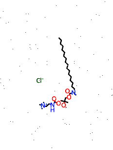 CCCCCCCCCCCCCCCCCCN(C)C(=O)OCC(C)(COC(=O)NCC[N+](C)(C)C)OC.[Cl-]